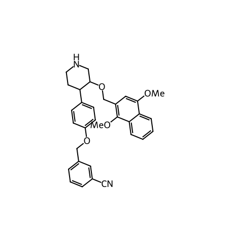 COc1cc(COC2CNCCC2c2ccc(OCc3cccc(C#N)c3)cc2)c(OC)c2ccccc12